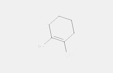 OC1=C(O)CCCC1